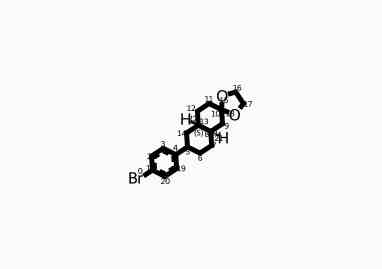 Brc1ccc(C2CC[C@@H]3CC4(CC[C@H]3C2)OCCO4)cc1